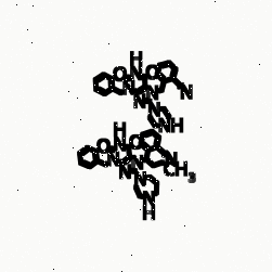 CCCC(c1ccccc1C#N)n1c(N2CCCNCC2)nc2c1c(=O)[nH]c(=O)n2Cc1ccccc1.N#Cc1ccccc1Cn1c(N2CCNCC2)nc2c1c(=O)[nH]c(=O)n2Cc1ccccc1